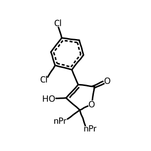 CCCC1(CCC)OC(=O)C(c2ccc(Cl)cc2Cl)=C1O